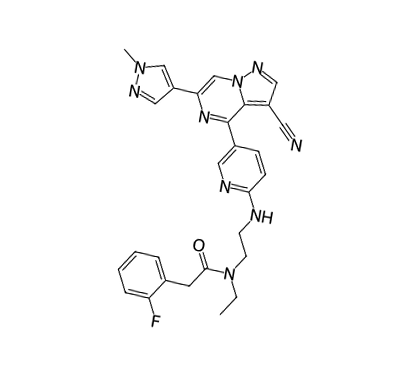 CCN(CCNc1ccc(-c2nc(-c3cnn(C)c3)cn3ncc(C#N)c23)cn1)C(=O)Cc1ccccc1F